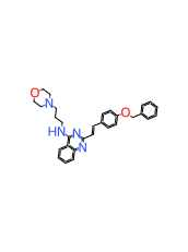 C(=C\c1nc(NCCCN2CCOCC2)c2ccccc2n1)/c1ccc(OCc2ccccc2)cc1